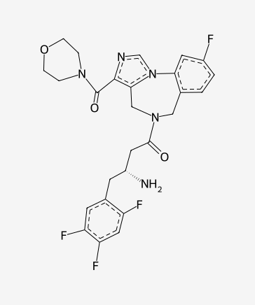 N[C@@H](CC(=O)N1Cc2ccc(F)cc2-n2cnc(C(=O)N3CCOCC3)c2C1)Cc1cc(F)c(F)cc1F